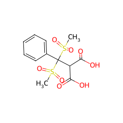 CS(=O)(=O)C(c1ccccc1)(C(C(=O)O)C(=O)O)S(C)(=O)=O